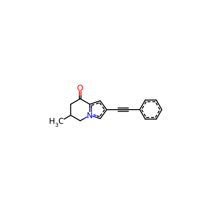 CC1CC(=O)c2cc(C#Cc3ccccc3)cn2C1